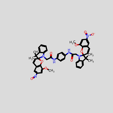 COc1cc(N=O)cc2c1OC1(C=C2)N(CC(=O)Nc2ccc(NC(=O)CN3c4ccccc4C(C)(C)C34C=Cc3cc([N+](=O)[O-])cc(OC)c3O4)cc2)c2ccccc2C1(C)C